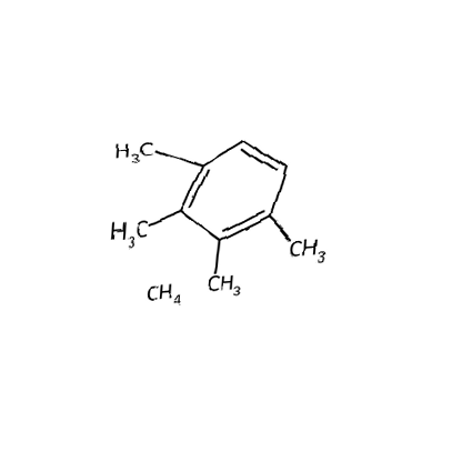 C.Cc1ccc(C)c(C)c1C